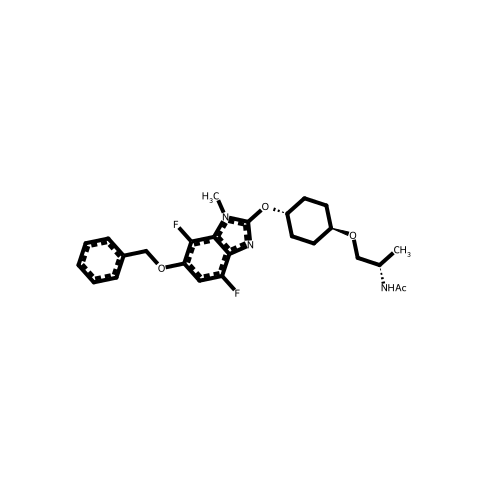 CC(=O)N[C@@H](C)CO[C@H]1CC[C@H](Oc2nc3c(F)cc(OCc4ccccc4)c(F)c3n2C)CC1